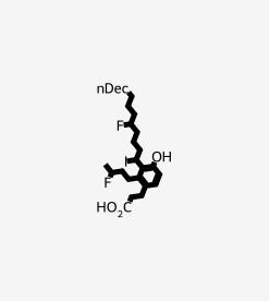 CCCCCCCCCCCCCC(F)CCCC(I)c1c(O)ccc(CCC(=O)O)c1CCC(C)F